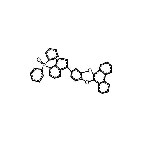 O=P(c1ccccc1)(c1ccccc1)c1cccc2c(-c3ccc4c(c3)Oc3c(c5ccccc5c5ccccc35)O4)cccc12